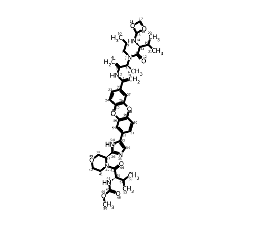 C=C(NC(=C)[C@H](C)N(CCC)C(=O)[C@@H](NC1OCO1)C(C)C)c1ccc2c(c1)Oc1ccc(-c3cnc([C@@H]4COCCN4C(=O)[C@@H](NC(=O)OC)C(C)C)[nH]3)cc1O2